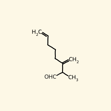 C=CCCCC(=C)C(C)C=O